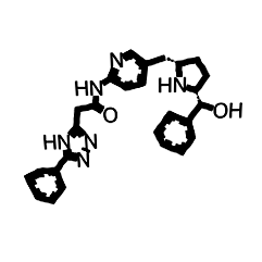 O=C(Cc1nnc(-c2ccccc2)[nH]1)Nc1ccc(C[C@@H]2CC[C@H](C(O)c3ccccc3)N2)cn1